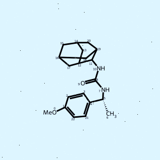 COc1ccc([C@@H](C)NC(=O)NC2C3CC4CC(C3)CC2C4)cc1